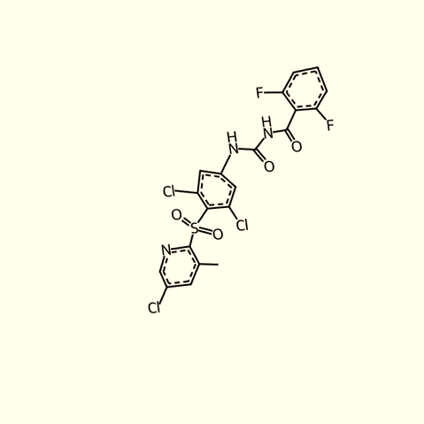 Cc1cc(Cl)cnc1S(=O)(=O)c1c(Cl)cc(NC(=O)NC(=O)c2c(F)cccc2F)cc1Cl